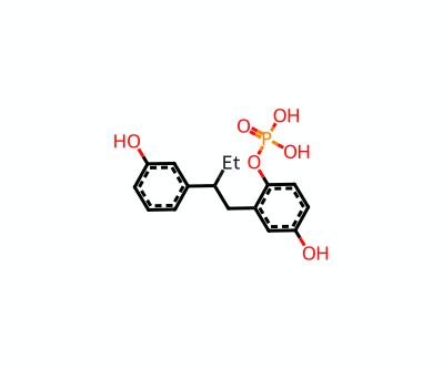 CCC(Cc1cc(O)ccc1OP(=O)(O)O)c1cccc(O)c1